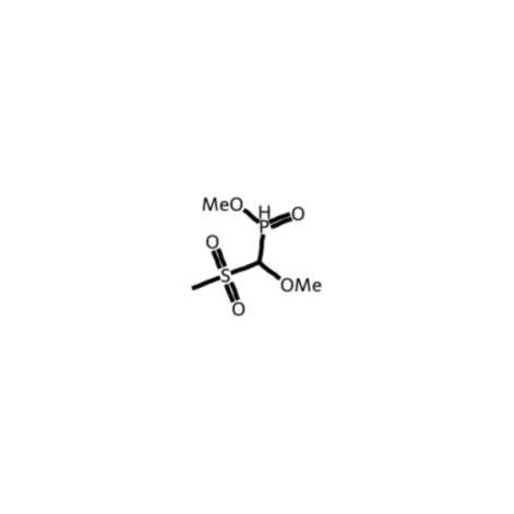 COC([PH](=O)OC)S(C)(=O)=O